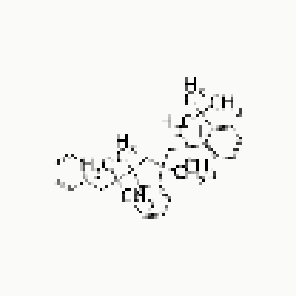 CC(C)(C)c1ccccc1C(C)(C)CC1(C)CC(C)(C(C)(C)Cc2ccccc2)c2ccccc21